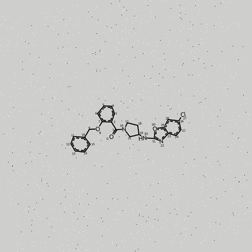 O=C(c1ccccc1OCc1ccccc1)N1CC[C@@H](Nc2nc3ccc(Cl)cc3o2)C1